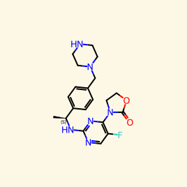 C[C@H](Nc1ncc(F)c(N2CCOC2=O)n1)c1ccc(CN2CCNCC2)cc1